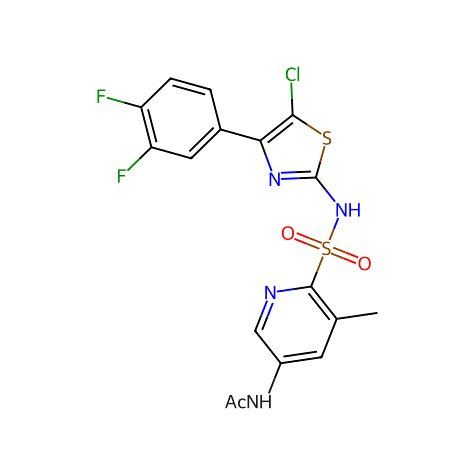 CC(=O)Nc1cnc(S(=O)(=O)Nc2nc(-c3ccc(F)c(F)c3)c(Cl)s2)c(C)c1